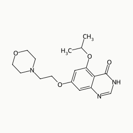 CC(C)Oc1cc(OCCN2CCOCC2)cc2nc[nH]c(=O)c12